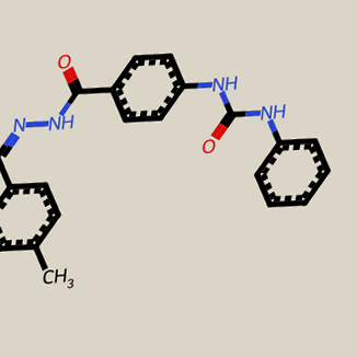 Cc1ccc(/C=N\NC(=O)c2ccc(NC(=O)Nc3ccccc3)cc2)cc1